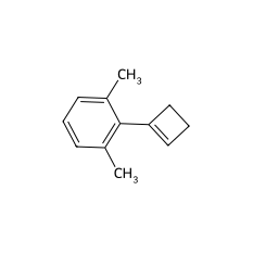 Cc1cccc(C)c1C1=CCC1